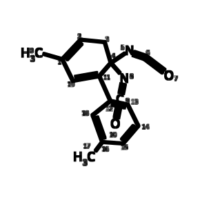 CC1=CCC(N=C=O)(N=C=O)C(c2cccc(C)c2)=C1